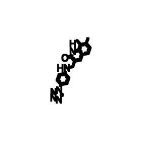 Cc1ccc2cc(CNc3ccc(-n4cnnn4)cc3)c(=O)[nH]c2c1C